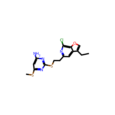 CCc1coc2c(Cl)nc(CCSc3nc(N)cc(SC)n3)cc12